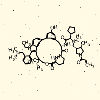 C=CC(=O)N1C[C@@H](CN(C)[C@H](C(=O)N[C@H]2Cc3cc(O)cc(c3)-c3ccc4c(c3)c(c(-c3ccccc3CN(C)C)n4CC)CC(C)(C)COC(=O)[C@@H]3CCCN(N3)C2=O)C2CCCC2)[C@@H](C)C1